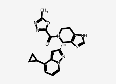 Cc1nnc(C(=O)N2CCc3[nH]cnc3[C@@H]2c2cc3c(C4CC4)cccn3n2)o1